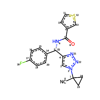 N#CC1(n2cc([C@@H](NC(=O)c3ccsc3)c3ccc(F)cc3)nn2)CC1